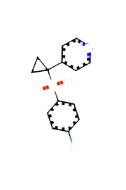 O=S(=O)(c1ccc(Br)cc1)C1(c2ccncc2)CC1